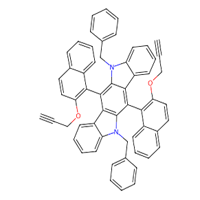 C#CCOc1ccc2ccccc2c1-c1c2c3ccccc3n(Cc3ccccc3)c2c(-c2c(OCC#C)ccc3ccccc23)c2c3ccccc3n(Cc3ccccc3)c12